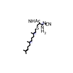 CC(=O)NC(CSC/C=C(\C)CC/C=C(\C)CCC=C(C)C)/C(N)=N/C#N